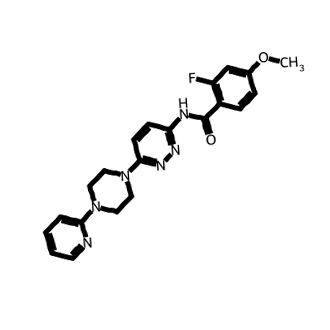 COc1ccc(C(=O)Nc2ccc(N3CCN(c4ccccn4)CC3)nn2)c(F)c1